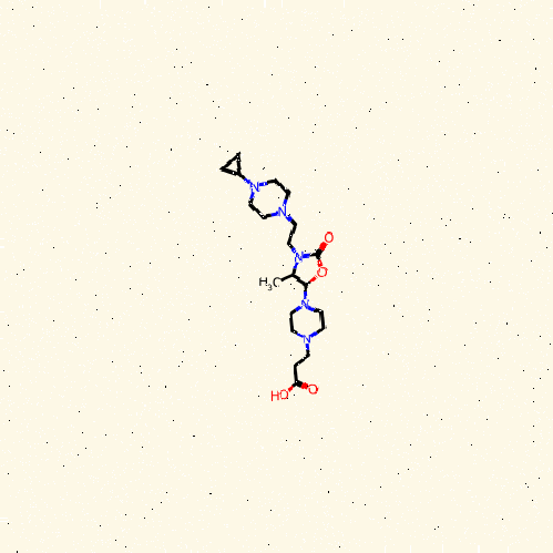 CC1C(N2CCN(CCC(=O)O)CC2)OC(=O)N1CCN1CCN(C2CC2)CC1